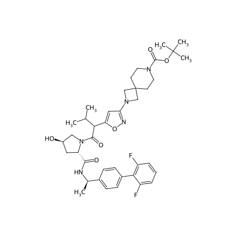 CC(C)C(C(=O)N1C[C@H](O)C[C@H]1C(=O)N[C@H](C)c1ccc(-c2c(F)cccc2F)cc1)c1cc(N2CC3(CCN(C(=O)OC(C)(C)C)CC3)C2)no1